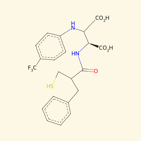 O=C(N[C@H](C(=O)O)C(Nc1ccc(C(F)(F)F)cc1)C(=O)O)C(CS)Cc1ccccc1